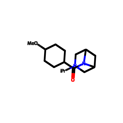 COC1CCC(C(=O)N2C3CC2CN(C(C)C)C3)CC1